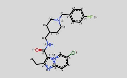 CCc1nc2ccc(Cl)cn2c1C(=O)NCC1CCN(Cc2ccc(F)cc2)CC1